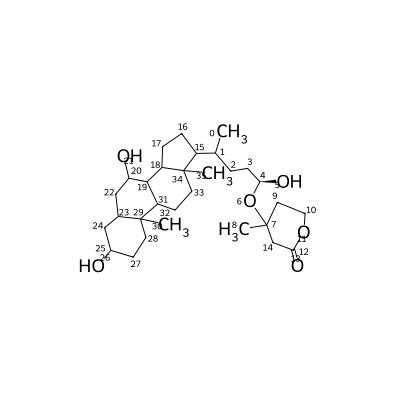 CC(CC[C@@H](O)OC1(C)CCOC(=O)C1)C1CCC2C3C(O)CC4CC(O)CCC4(C)C3CCC12C